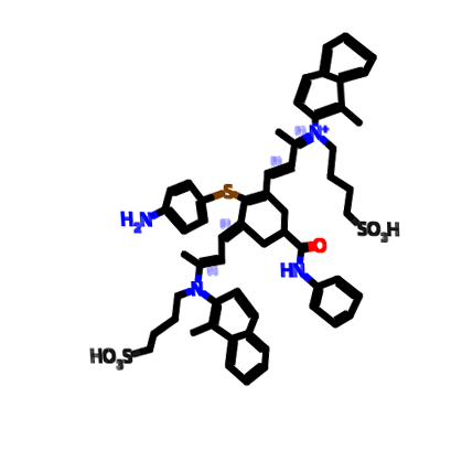 C/C(=C\C=C1/CC(C(=O)Nc2ccccc2)CC(/C=C/C(C)=[N+](\CCCCS(=O)(=O)O)c2ccc3ccccc3c2C)=C1Sc1ccc(N)cc1)N(CCCCS(=O)(=O)O)c1ccc2ccccc2c1C